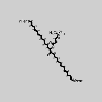 CCCCCC=CCC=CCCCCCCCC(=O)C(CCCCCCCC=CCC=CCCCCC)OC(=O)CCCN(C)C